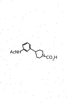 CC(=O)Nc1cccc(C2CCN(C(=O)O)CC2)c1